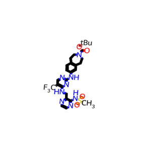 CC(C)(C)OC(=O)N1CCc2ccc(Nc3ncc(C(F)(F)F)c(NCc4nccnc4NS(C)(=O)=O)n3)cc2CC1